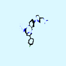 CN(C)CC1CCN(c2ccc3c(c2)Cn2cc(-c4ccc(F)cc4)cc2/C(=N/N)N3N)C1